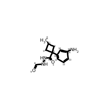 CC1CC(C(=O)NNC=O)(c2cccc(N)c2)C1